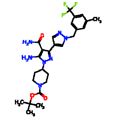 Cc1cc(Cn2cc(-c3nn(C4CCN(C(=O)OC(C)(C)C)CC4)c(N)c3C(N)=O)cn2)cc(C(F)(F)F)c1